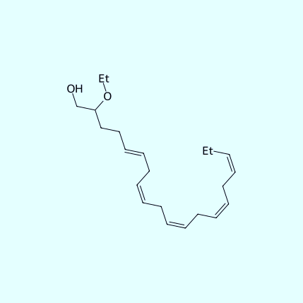 CC/C=C\C/C=C\C/C=C\C/C=C\C/C=C/CCC(CO)OCC